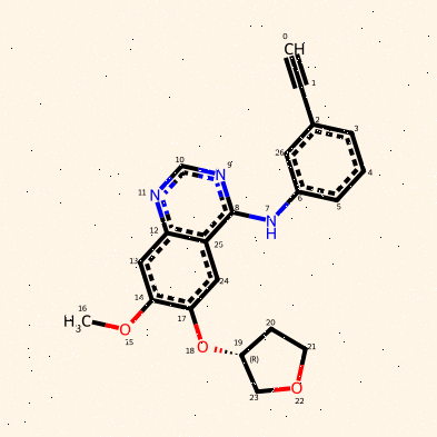 C#Cc1cccc(Nc2ncnc3cc(OC)c(O[C@@H]4CCOC4)cc23)c1